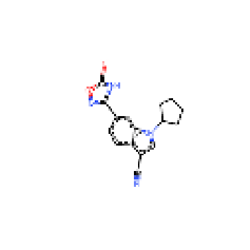 N#Cc1cn(C2CCCC2)c2cc(-c3noc(=O)[nH]3)ccc12